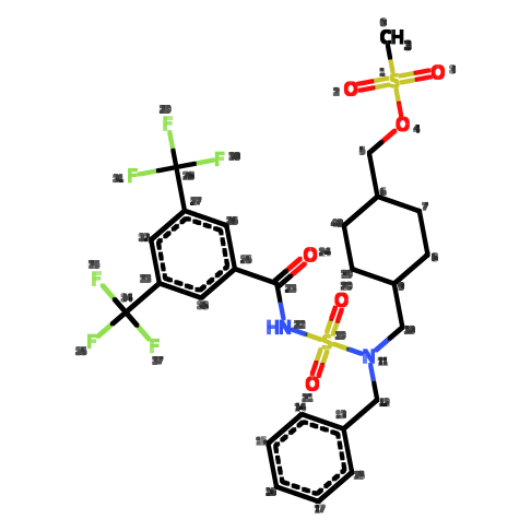 CS(=O)(=O)OCC1CCC(CN(Cc2ccccc2)S(=O)(=O)NC(=O)c2cc(C(F)(F)F)cc(C(F)(F)F)c2)CC1